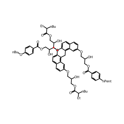 CCCCCc1ccc(C(=O)OCC(O)COc2ccc3ccc(OCC(O)COC(=O)c4ccc(OCCCC)cc4)c(Cc4c(OCC(O)COC(=O)C(CC)CCCC)ccc5ccc(OCC(O)COC(=O)C(CC)CCCC)cc45)c3c2)cc1